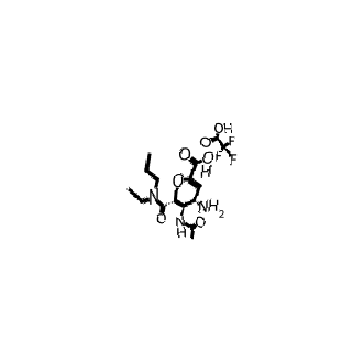 CCCN(CC)C(=O)[C@@H]1OC(C(=O)O)=C[C@H](N)[C@H]1NC(C)=O.O=C(O)C(F)(F)F